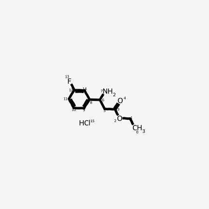 CCOC(=O)CC(N)c1cccc(F)c1.Cl